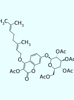 CC(=O)OC[C@H]1O[C@@H](Oc2ccc3c(OC/C=C(\C)CCC=C(C)C)c(OC(C)=O)c(=O)oc3c2)[C@H](OC(C)=O)[C@@H](OC(C)=O)[C@@H]1OC(C)=O